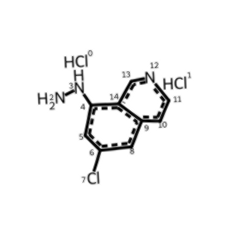 Cl.Cl.NNc1cc(Cl)cc2ccncc12